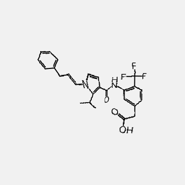 CC(C)c1c(C(=O)Nc2cc(CC(=O)O)ccc2C(F)(F)F)ccn1/C=C/Cc1ccccc1